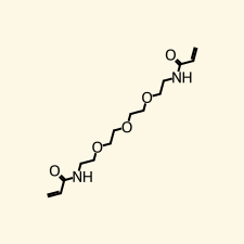 C=CC(=O)NCCOCCOCCOCCNC(=O)C=C